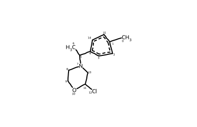 Cc1ccc(C(C)N2CCOC(Cl)C2)cc1